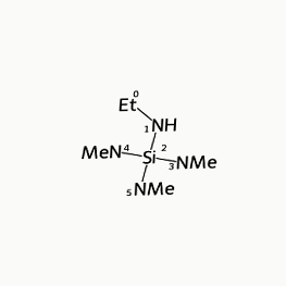 CCN[Si](NC)(NC)NC